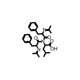 CC(C)=NC(Cc1ccccc1)C(=O)N(C(=O)C(Cc1ccccc1)N=C(C)C)C(CC(C)C)C(=O)O